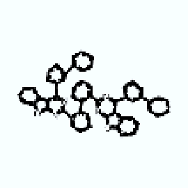 c1ccc(-c2cccc(-c3nc(-c4ccccc4-c4ccccc4-c4nc(-c5cccc(-c6ccccc6)c5)c5c(n4)oc4ccccc45)nc4oc5ccccc5c34)c2)cc1